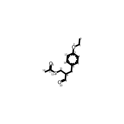 CCOc1ccc(CC(C=O)CSC(C)=O)cc1